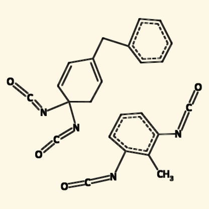 Cc1c(N=C=O)cccc1N=C=O.O=C=NC1(N=C=O)C=CC(Cc2ccccc2)=CC1